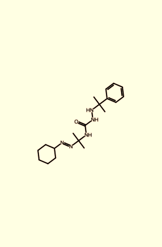 CC(C)(/N=N/C1CCCCC1)NC(=O)NNC(C)(C)c1ccccc1